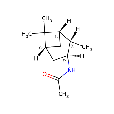 CC(=O)N[C@H]1C[C@H]2C[C@@H]([C@@H]1C)C2(C)C